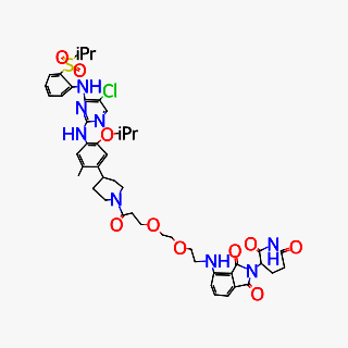 Cc1cc(Nc2ncc(Cl)c(Nc3ccccc3S(=O)(=O)C(C)C)n2)c(OC(C)C)cc1C1CCN(C(=O)CCOCCOCCNc2cccc3c2C(=O)N(C2CCC(=O)NC2=O)C3=O)CC1